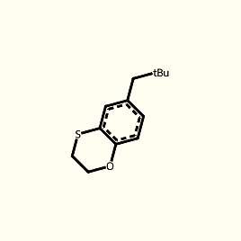 CC(C)(C)Cc1ccc2c(c1)SCCO2